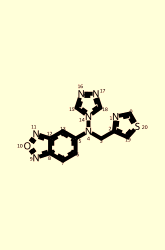 c1nc(CN(c2ccc3nonc3c2)n2cnnc2)cs1